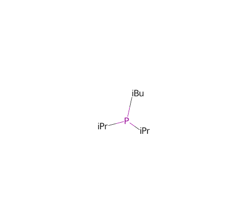 CCC(C)P(C(C)C)C(C)C